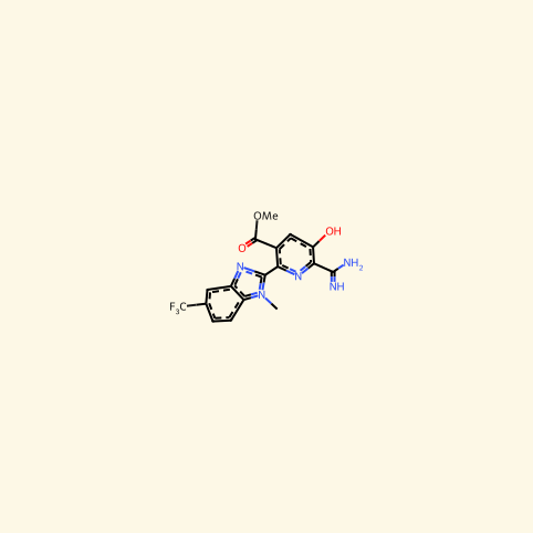 COC(=O)c1cc(O)c(C(=N)N)nc1-c1nc2cc(C(F)(F)F)ccc2n1C